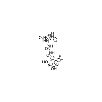 CC1C=C2Oc3cc(O)c(F)cc3C(c3ccc(C(=O)NCCC(=O)NCCNc4nc(Nc5ccccc5)ncc4[N+](=O)[O-])cc3C(=O)O)=C2C=C1F